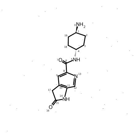 N[C@H]1CC[C@H](NC(=O)c2cc3c(cn2)NC(=O)C3)CC1